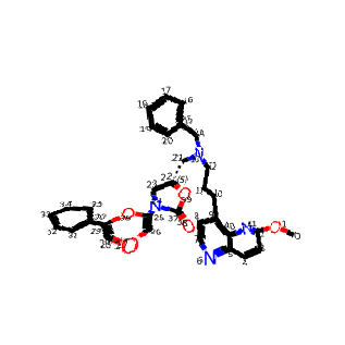 COc1ccc2nccc(CCCN(Cc3ccccc3)C[C@H]3CN(C4=COC=C(C5=CC=CCC5)O4)C(=O)O3)c2n1